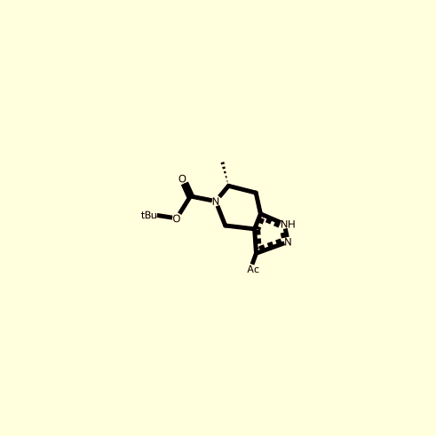 CC(=O)c1n[nH]c2c1CN(C(=O)OC(C)(C)C)[C@H](C)C2